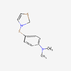 CN(C)c1ccc(SN2C=CSC2)cc1